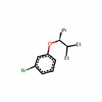 CCC(CC)[C@@H](Oc1cccc(Br)c1)C(C)C